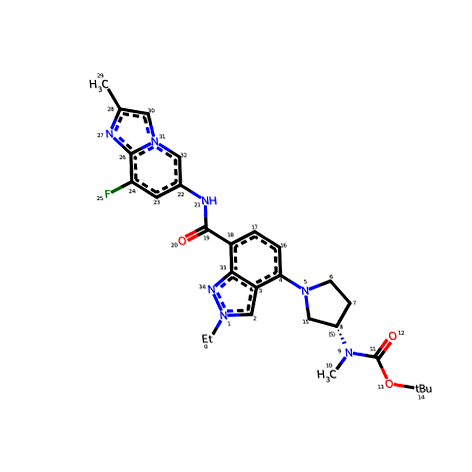 CCn1cc2c(N3CC[C@H](N(C)C(=O)OC(C)(C)C)C3)ccc(C(=O)Nc3cc(F)c4nc(C)cn4c3)c2n1